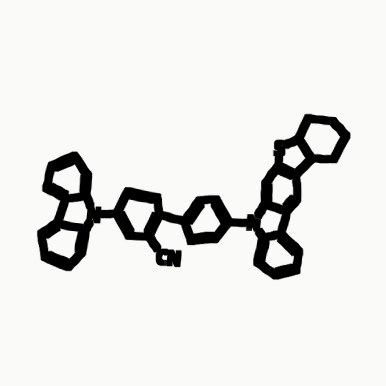 N#Cc1cc(-n2c3ccccc3c3ccccc32)ccc1-c1ccc(-n2c3ccccc3c3cc4c(cc32)SC2CCCCC42)cc1